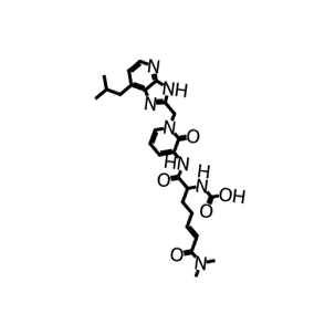 CC(C)Cc1ccnc2[nH]c(Cn3cccc(NC(=O)C(CCC=CC(=O)N(C)C)NC(=O)O)c3=O)nc12